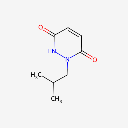 CC(C)Cn1[nH]c(=O)ccc1=O